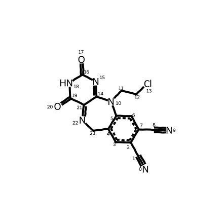 N#Cc1cc2c(cc1C#N)N(CCCl)C1=NC(=O)NC(=O)C1=NC2